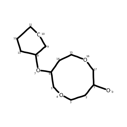 [O]C1CCOCC(OC2[CH]CCCC2)CCOC1